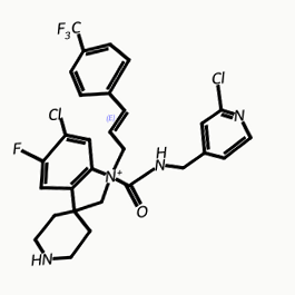 O=C(NCc1ccnc(Cl)c1)[N+]1(C/C=C/c2ccc(C(F)(F)F)cc2)CC2(CCNCC2)c2cc(F)c(Cl)cc21